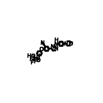 N#Cc1cc(-c2ccnc(Nc3ccc(N4CCOCC4)cc3)n2)ccc1OC1CCN(C(=O)[C@H](O)C(F)(F)F)CC1